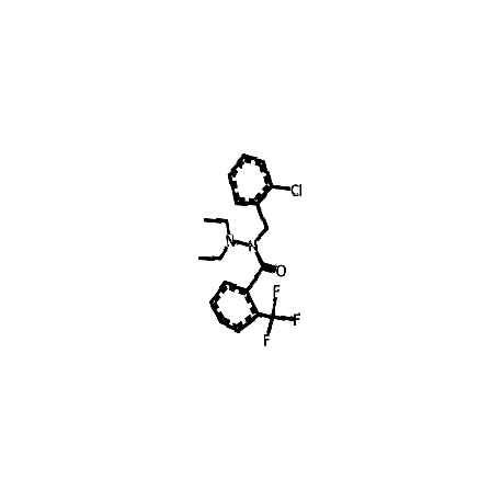 CCN(CC)N(Cc1ccccc1Cl)C(=O)c1ccccc1C(F)(F)F